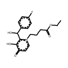 CCOC(=O)CCCn1ccc(=O)c(O)c1C(O)c1ccc(F)cc1